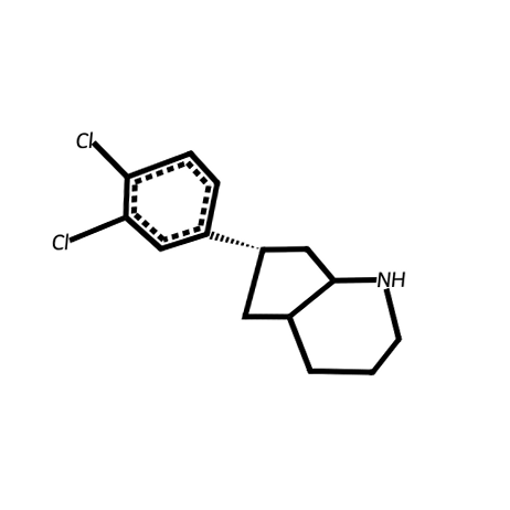 Clc1ccc([C@H]2CC3CCCNC3C2)cc1Cl